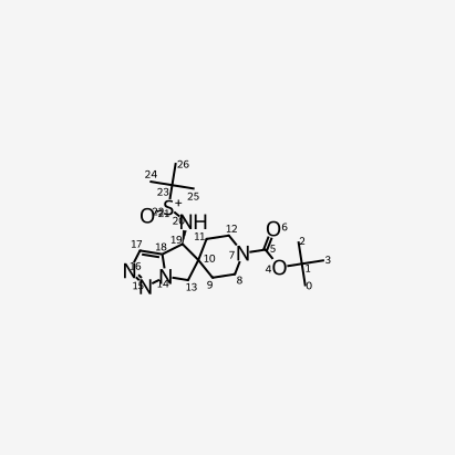 CC(C)(C)OC(=O)N1CCC2(CC1)Cn1nncc1[C@H]2N[S@+]([O-])C(C)(C)C